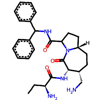 CC[C@H](N)C(=O)N[C@@H]1C(=O)N2C(C(=O)NC(c3ccccc3)c3ccccc3)CC[C@@H]2CC[C@@H]1CN